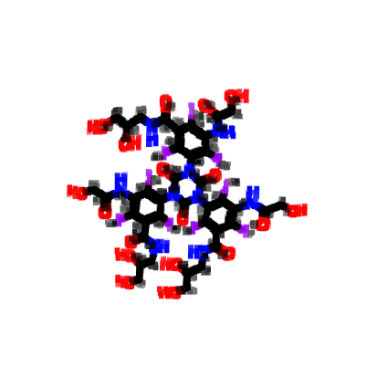 O=C(CO)Nc1c(I)c(C(=O)NCC(O)CO)c(I)c(-n2c(=O)n(-c3c(I)c(NC(=O)CO)c(I)c(C(=O)NCC(O)CO)c3I)c(=O)n(-c3c(I)c(NC(=O)CO)c(I)c(C(=O)NCC(O)CO)c3I)c2=O)c1I